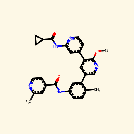 CCOc1ncc(-c2cc(NC(=O)c3ccnc(C(F)(F)F)c3)ccc2C)cc1-c1ccnc(NC(=O)C2CC2)c1